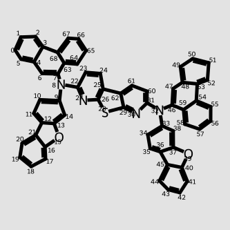 c1ccc2c(c1)cc(N(c1ccc3c(c1)oc1ccccc13)c1ccc3c(n1)sc1nc(N(c4ccc5c(c4)oc4ccccc45)c4cc5ccccc5c5ccccc45)ccc13)c1ccccc12